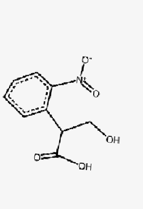 O=C(O)C(CO)c1ccccc1[N+](=O)[O-]